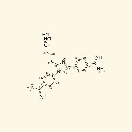 Cl.Cl.N=C(N)c1ccc(-c2cn(-c3ccc(C(=N)N)cc3)c(SCCO)n2)cc1